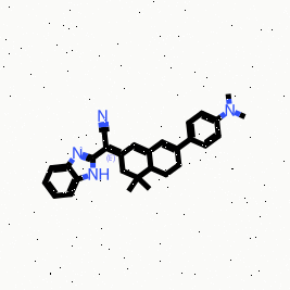 CN(C)c1ccc(C2=CC3=C/C(=C(\C#N)c4nc5ccccc5[nH]4)CC(C)(C)C3CC2)cc1